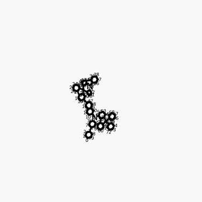 c1ccc(-c2ccc(N(c3ccc4cc(-c5ccc6c(c5)C5(c7ccccc7-6)c6ccccc6-n6c7ccccc7c7cccc5c76)ccc4c3)c3cccc4c3-c3ccccc3C4(c3ccccc3)c3ccccc3)cc2)cc1